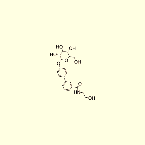 O=C(NCCO)c1cccc(-c2ccc(OC3OC(CO)C(O)C(O)C3O)cc2)c1